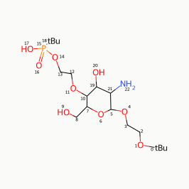 CC(C)(C)OCCOC1OC(CO)C(OCCOP(=O)(O)C(C)(C)C)C(O)C1N